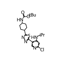 CC(C)Nc1cc(Cl)ncc1-c1nnc(C2CCC(NC(=O)OC(C)(C)C)CC2)s1